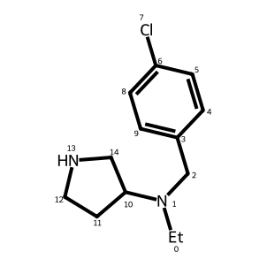 CCN(Cc1ccc(Cl)cc1)C1CCNC1